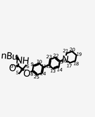 CCCCNC(=O)C(C)(C)Oc1ccc(-c2ccc(N3CCCCC3)cc2)cc1